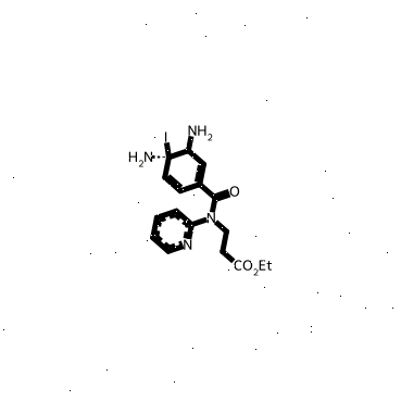 CCOC(=O)CCN(C(=O)C1=CC(N)[C@](N)(I)C=C1)c1ccccn1